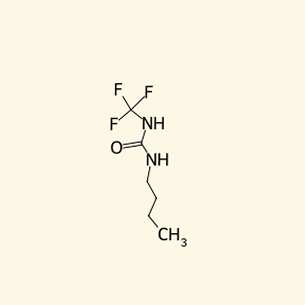 CCCCNC(=O)NC(F)(F)F